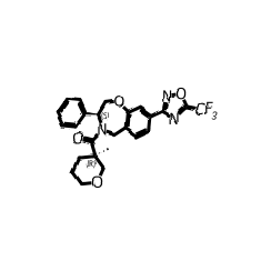 C[C@@]1(C(=O)N2Cc3ccc(-c4noc(C(F)(F)F)n4)cc3OC[C@@H]2c2ccccc2)CCCOC1